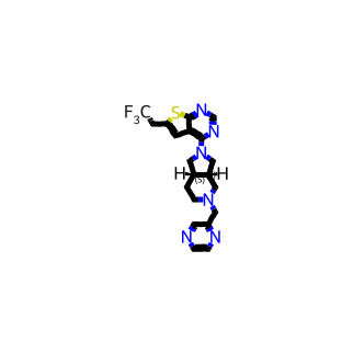 FC(F)(F)Cc1cc2c(N3C[C@H]4CCN(Cc5cnccn5)C[C@H]4C3)ncnc2s1